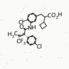 C[C@H]([C@H](C(=O)Nc1cc(CC(C(=O)O)C2CCC2)ccc1Cl)c1ccc(Cl)cc1)C(F)(F)F